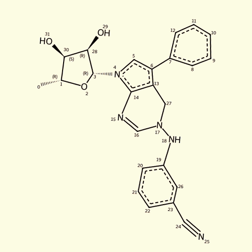 C[C@H]1O[C@@H](n2cc(-c3ccccc3)c3c2N=CN(Nc2cccc(C#N)c2)C3)[C@H](O)[C@@H]1O